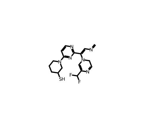 C=N/C=C(/c1nccc(N2CCCC(S)C2)n1)N1C=C(C(F)F)N=CC1